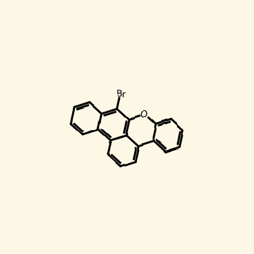 Brc1c2c3c(cccc3c3ccccc13)-c1ccccc1O2